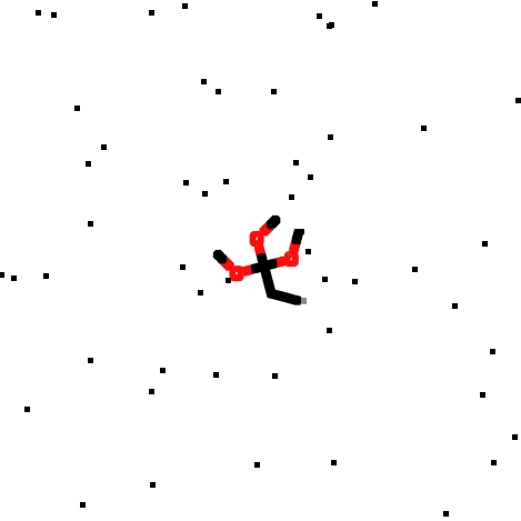 [CH2]CC(OC)(OC)OC